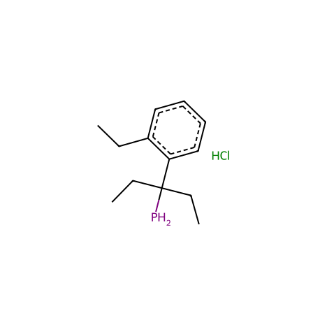 CCc1ccccc1C(P)(CC)CC.Cl